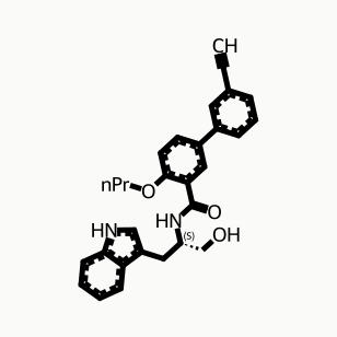 C#Cc1cccc(-c2ccc(OCCC)c(C(=O)N[C@H](CO)Cc3c[nH]c4ccccc34)c2)c1